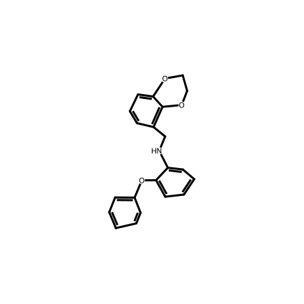 c1ccc(Oc2ccccc2NCc2cccc3c2OCCO3)cc1